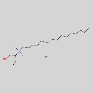 CCCCCCCCCCCCCCC[N+](C)(C)C(CC)CO.[Br-]